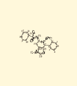 CC(C)c1ccccc1-c1nc(N(C)S(=O)(=O)c2ccccc2)cc2c1ncn2C